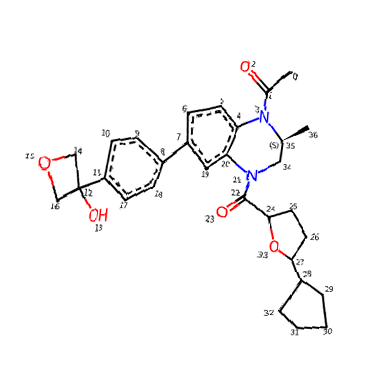 CC(=O)N1c2ccc(-c3ccc(C4(O)COC4)cc3)cc2N(C(=O)C2CCC(C3CCCC3)O2)C[C@@H]1C